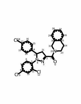 O=C(C1=NN(c2ccc(Cl)cc2Cl)C(c2ccc(Cl)cc2)C1)N1CCc2ccccc2C1